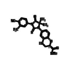 CNC(=O)[C@H]1CNc2cc(N3C(=S)N(c4ccc(C#N)c(C(F)(F)F)c4)C(=O)C3(C)C)ccc2O1